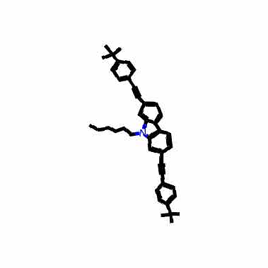 CCCCCCn1c2cc(C#Cc3ccc(C(C)(C)C)cc3)ccc2c2ccc(C#Cc3ccc(C(C)(C)C)cc3)cc21